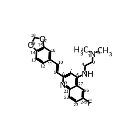 CN(C)CCNc1cc(/C=C/c2ccc3c(c2)OCO3)nc2ccc(F)cc12